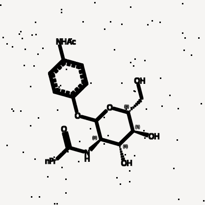 CCCC(=O)N[C@H]1C(Oc2ccc(NC(C)=O)cc2)O[C@H](CO)[C@@H](O)[C@@H]1O